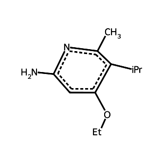 CCOc1cc(N)nc(C)c1C(C)C